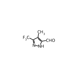 Cc1c(C(F)(F)F)n[nH]c1C=O